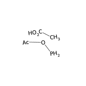 CC(=O)O.CC(=O)OP